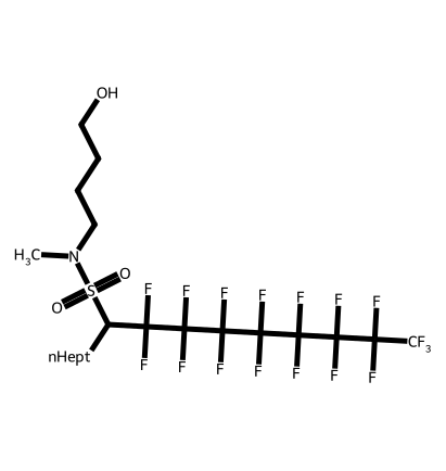 CCCCCCCC(C(F)(F)C(F)(F)C(F)(F)C(F)(F)C(F)(F)C(F)(F)C(F)(F)C(F)(F)F)S(=O)(=O)N(C)CCCCO